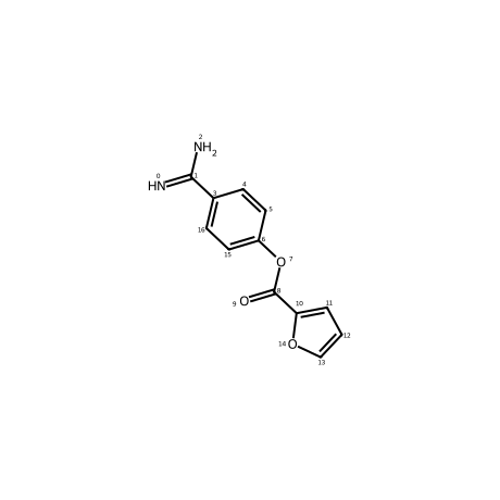 N=C(N)c1ccc(OC(=O)c2ccco2)cc1